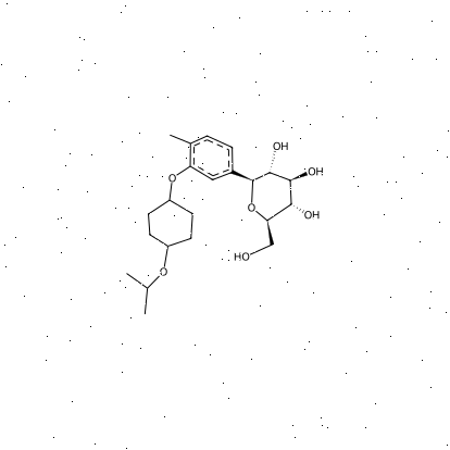 Cc1ccc([C@@H]2O[C@H](CO)[C@@H](O)[C@H](O)[C@H]2O)cc1OC1CCC(OC(C)C)CC1